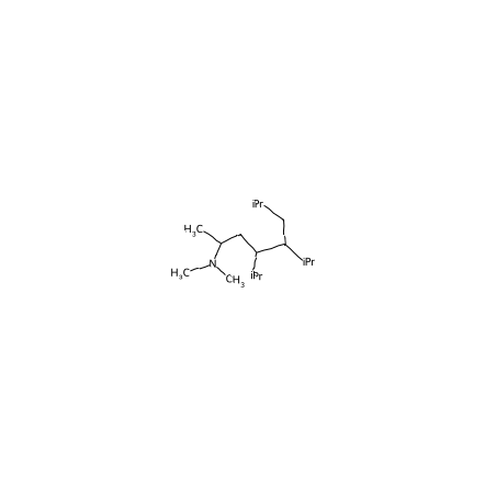 CC(C)CC(C(C)C)C(CC(C)N(C)C)C(C)C